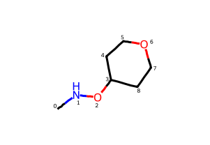 CNOC1CCOCC1